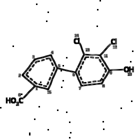 O=C(O)c1cccc(-c2ccc(O)c(Cl)c2Cl)c1